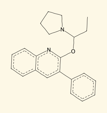 CCC(Oc1nc2ccccc2cc1-c1ccccc1)N1CCCC1